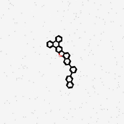 c1cc(-c2ccc3ccccc3c2)cc(-c2ccc3c(ccc4c5cc6c7ccccc7c7ccccc7c6cc5oc34)c2)c1